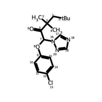 CC(C)(C)CC(C)(C)C(=O)C(Oc1ccc(Cl)cc1)n1cncn1